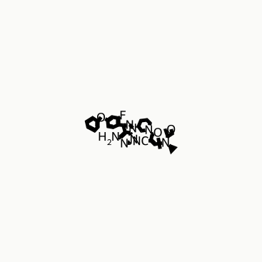 CC(C)(/C=C(/C#N)C(=O)N1CCC[C@H](n2nc(-c3ccc(Oc4ccccc4)cc3F)c3c(N)ncnc32)C1)N(C1CC1)C1COC1